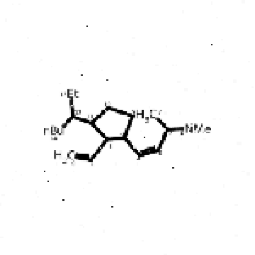 C=CC1C(/C=C\C(C)NC)CCC1C(CC)CCCC